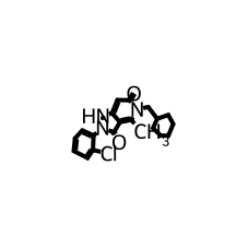 Cc1c2c(=O)n(-c3ccccc3Cl)[nH]c2cc(=O)n1CC1CCCCC1